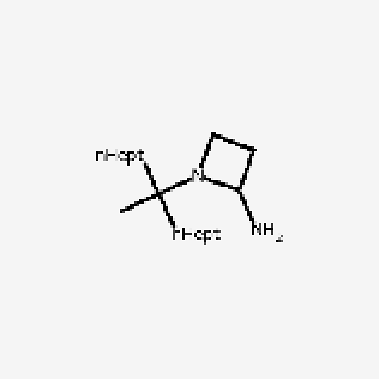 CCCCCCCC(C)(CCCCCCC)N1CCC1N